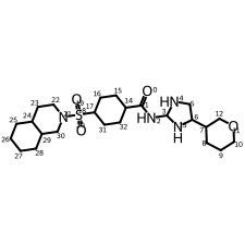 O=C(NC1NCC(C2CCCOC2)N1)C1CCC(S(=O)(=O)N2CCC3CCCCC3C2)CC1